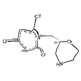 O=c1cc(Cl)n(C[C@H]2CNCCO2)c(=O)[nH]1